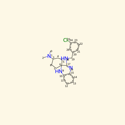 CN(C)C1CCC2(CC1)Nc1ccccc1N=C2NCc1cccc(Cl)c1